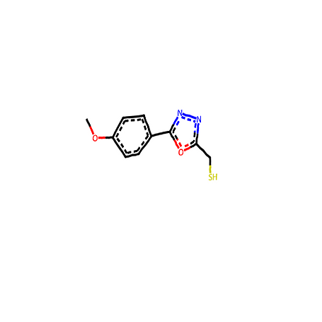 COc1ccc(-c2nnc(CS)o2)cc1